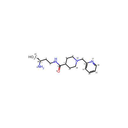 N[C@H](CCNC(=O)C1CCN(Cc2ccccn2)CC1)C(=O)O